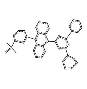 CP(C)(=O)c1cccc(-c2c3ccccc3c(-c3nc(-c4ccccc4)nc(-c4ccccc4)n3)c3ccccc23)c1